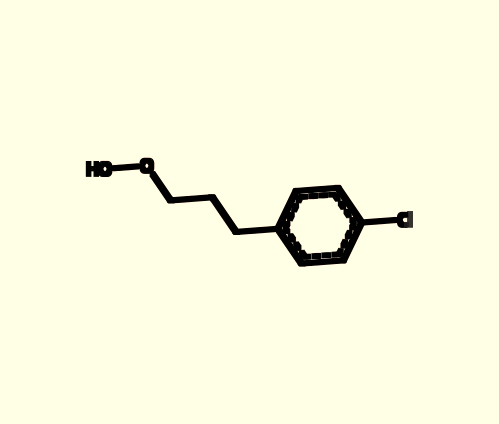 OOCCCc1ccc(Cl)cc1